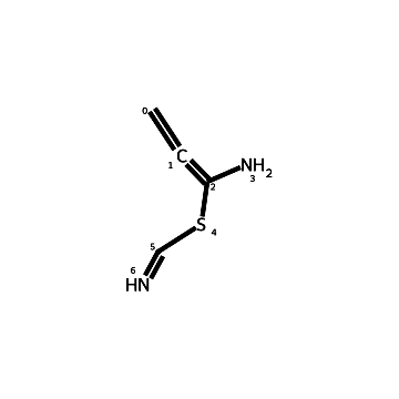 C=C=C(N)SC=N